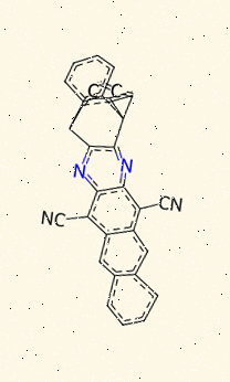 N#Cc1c2cc3ccccc3cc2c(C#N)c2nc3c(nc12)C1c2ccccc2C32c3cccc1c32